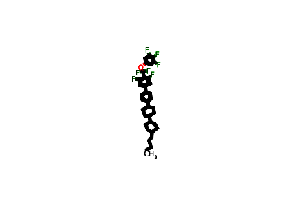 CCCCCC1CCC(C2CCC(c3ccc(-c4cc(F)c(C(F)(F)Oc5cc(F)c(F)c(F)c5)c(F)c4)cc3)CC2)CC1